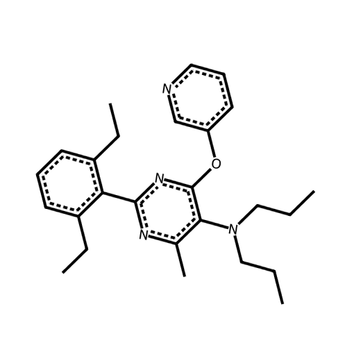 CCCN(CCC)c1c(C)nc(-c2c(CC)cccc2CC)nc1Oc1cccnc1